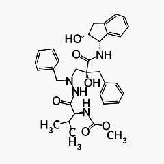 COC(=O)N[C@H](C(=O)NN(Cc1ccccc1)C[C@@](O)(Cc1ccccc1)C(=O)N[C@H]1c2ccccc2C[C@H]1O)C(C)C